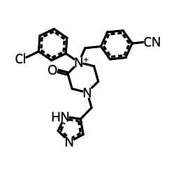 N#Cc1ccc(C[N+]2(c3cccc(Cl)c3)CCN(Cc3cnc[nH]3)CC2=O)cc1